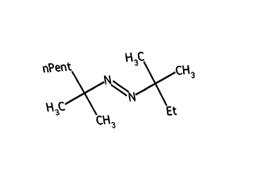 CCCCCC(C)(C)N=NC(C)(C)CC